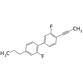 CC#Cc1ccc(-c2ccc(CCC)cc2F)cc1F